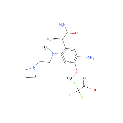 C=C(C(N)=O)c1cc(N)c(OC)cc1N(C)CCN1CCC1.O=C(O)C(F)(F)F